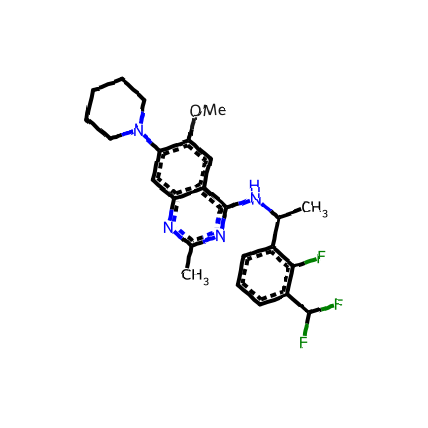 COc1cc2c(NC(C)c3cccc(C(F)F)c3F)nc(C)nc2cc1N1CCCCC1